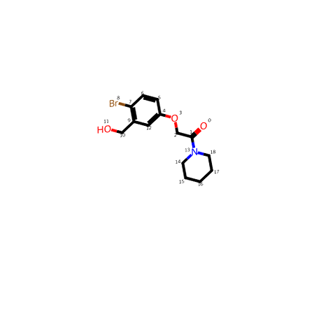 O=C(COc1ccc(Br)c(CO)c1)N1CCCCC1